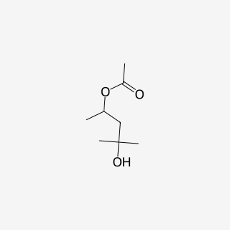 CC(=O)OC(C)CC(C)(C)O